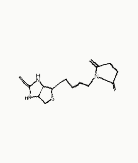 C=C1NC2CSC(CCCCN3C(=C)CCC3=C)C2N1